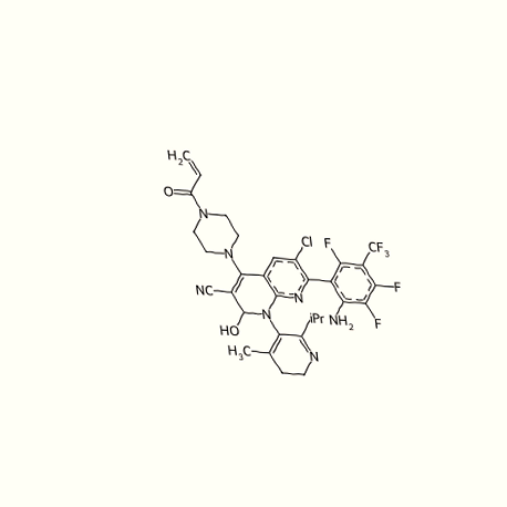 C=CC(=O)N1CCN(C2=C(C#N)C(O)N(C3=C(C)CCN=C3C(C)C)c3nc(-c4c(N)c(F)c(F)c(C(F)(F)F)c4F)c(Cl)cc32)CC1